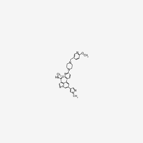 CNC(=O)c1cnn2cc(-c3cnn(C)c3)cc(-c3ccc(N4CCN(Cc5ccc(OC)nc5)CC4)nc3)c12